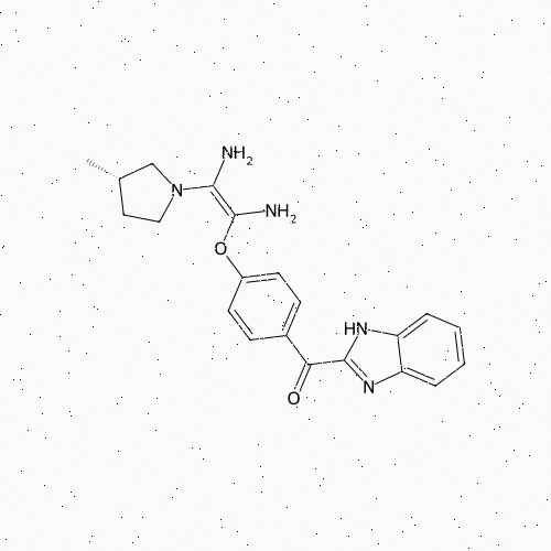 C[C@H]1CCN(/C(N)=C(/N)Oc2ccc(C(=O)c3nc4ccccc4[nH]3)cc2)C1